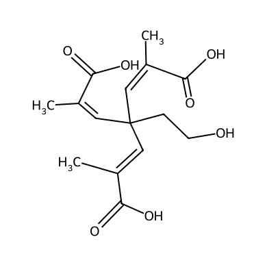 CC(=CC(C=C(C)C(=O)O)(C=C(C)C(=O)O)CCO)C(=O)O